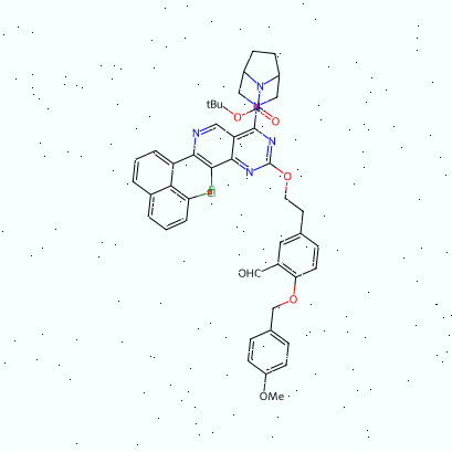 COc1ccc(COc2ccc(CCOc3nc(N4CC5CCC(C4)N5C(=O)OC(C)(C)C)c4cnc(-c5cccc6cccc(Cl)c56)c(F)c4n3)cc2C=O)cc1